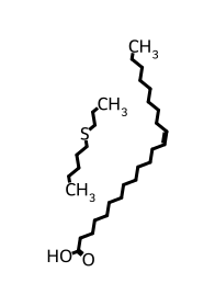 CCCCCCCC/C=C\CCCCCCCCCCCC(=O)O.CCCCCSCCC